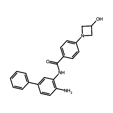 Nc1ccc(-c2ccccc2)cc1NC(=O)c1ccc(N2CC(O)C2)cc1